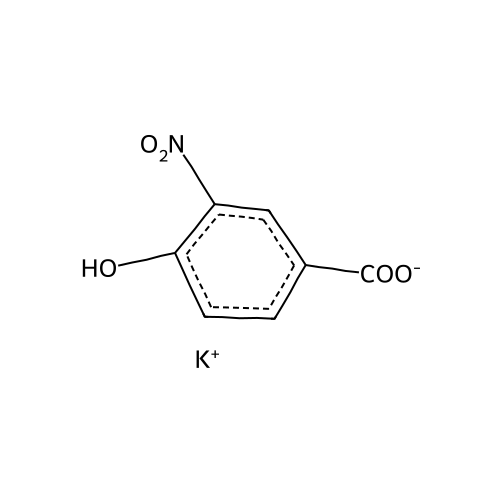 O=C([O-])c1ccc(O)c([N+](=O)[O-])c1.[K+]